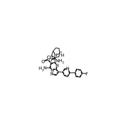 CC(=O)c1c(C2CC3CC[C@@H](C2)N3C(N)=O)nc2c(-c3ccc(-c4ccc(F)cc4)nc3)cnn2c1N